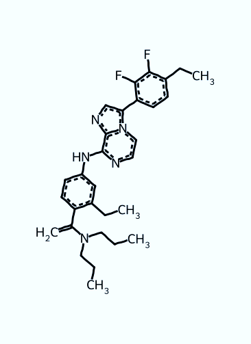 C=C(c1ccc(Nc2nccn3c(-c4ccc(CC)c(F)c4F)cnc23)cc1CC)N(CCC)CCC